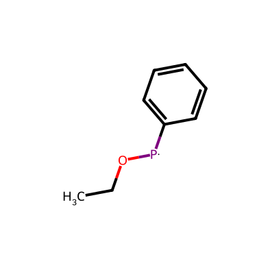 CCO[P]c1ccccc1